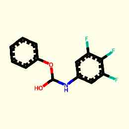 OC(Nc1cc(F)c(F)c(F)c1)Oc1ccccc1